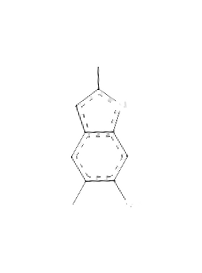 Cc1cc2cc(C(=O)O)[nH]c2cc1[N+](=O)[O-]